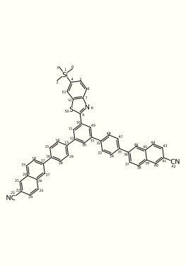 C[Si](C)(C)c1ccc2nc(-c3cc(-c4ccc(-c5ccc6cc(C#N)ccc6c5)cc4)cc(-c4ccc(-c5ccc6cc(C#N)ccc6c5)cc4)c3)sc2c1